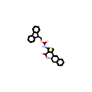 COC(=O)c1c(C2=Cc3ccccc3CC2)csc1NC(=O)OCC1c2ccccc2-c2ccccc21